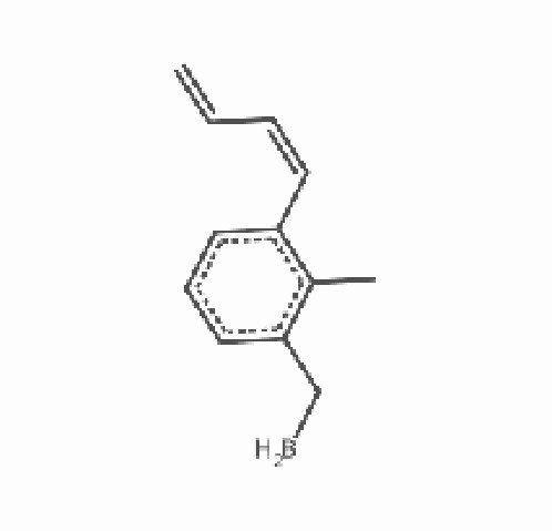 BCc1cccc(/C=C\C=C)c1C